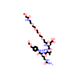 COCC(=O)NCCOCCOCCOCCOCCC(=O)N[C@@H](CCC(=O)O)C(=O)N[C@H](C(=O)N[C@@H](CCCNC(N)=O)C(=O)Nc1ccc(COC=O)cc1)C(C)C